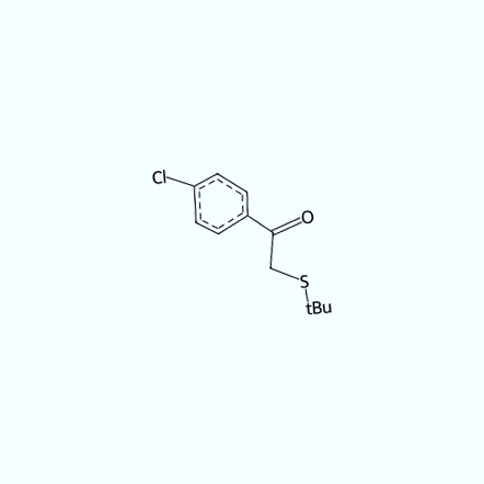 CC(C)(C)SCC(=O)c1ccc(Cl)cc1